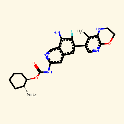 CC(=O)N[C@@H]1CCCC[C@H]1OC(=O)Nc1cc2cc(-c3cnc4c(c3C)NCCO4)c(F)c(N)c2cn1